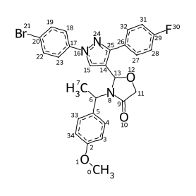 COc1ccc(C(C)N2C(=O)COC2c2cn(-c3ccc(Br)cc3)nc2-c2ccc(F)cc2)cc1